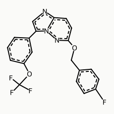 Fc1ccc(COc2ccc3ncc(-c4cccc(OC(F)(F)F)c4)n3n2)cc1